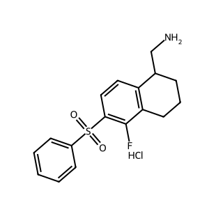 Cl.NCC1CCCc2c1ccc(S(=O)(=O)c1ccccc1)c2F